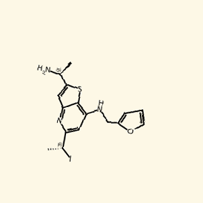 C[C@H](N)c1cc2nc([C@@H](C)I)cc(NCc3ccco3)c2s1